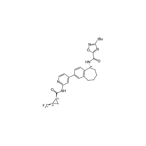 CC(C)(C)c1noc(C(=O)N[C@@H]2CCCCc3cc(-c4ccnc(NC(=O)[C@H]5C[C@H]5C(F)(F)F)c4)ccc32)n1